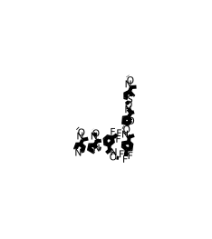 CON=C(C)c1ccc(C(F)(F)F)cc1.CON=C(C)c1cccc(C(F)(F)F)c1.CON=C(C)c1cccn1C.CON=C(C)c1ccco1.CON=C(C)c1ccncc1.CON=C(C)c1ccsc1